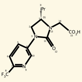 CC(C)[C@H]1CN(c2ccc(C(F)(F)F)nc2)C(=O)N1CC(=O)O